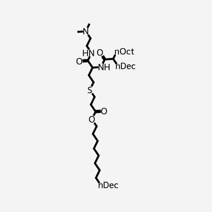 CCCCCCCCCCCCCCCCCCOC(=O)CCSCCC(NC(=O)C(CCCCCCCC)CCCCCCCCCC)C(=O)NCCN(C)C